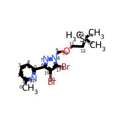 Cc1cccc(-c2nn(COCC[Si](C)(C)C)c(Br)c2Br)n1